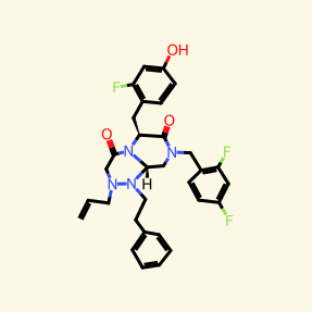 C=CCN1CC(=O)N2[C@@H](Cc3ccc(O)cc3F)C(=O)N(Cc3ccc(F)cc3F)C[C@@H]2N1CCc1ccccc1